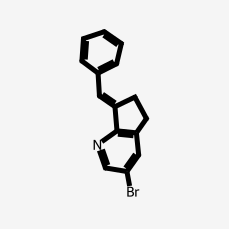 Brc1cnc2c(c1)CC/C2=C\c1ccccc1